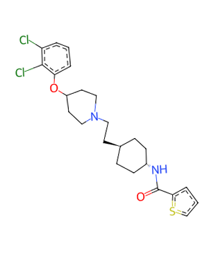 O=C(N[C@H]1CC[C@H](CCN2CCC(Oc3cccc(Cl)c3Cl)CC2)CC1)c1cccs1